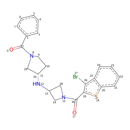 O=C(c1ccccc1)N1CC[C@H](NC2CN(C(=O)c3sc4ccccc4c3Br)C2)C1